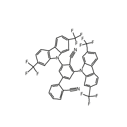 N#Cc1ccccc1-c1cc(-n2c3cc(C(F)(F)F)ccc3c3ccc(C(F)(F)F)cc32)c(C#N)c(-n2c3cc(C(F)(F)F)ccc3c3ccc(C(F)(F)F)cc32)c1